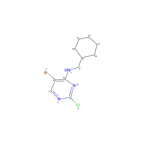 Clc1ncc(Br)c(NCC2CCCCC2)n1